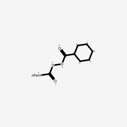 CCCCCC(=O)OOC(=O)C1CCCCC1